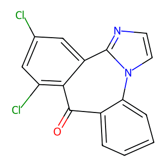 O=c1c2ccccc2n2ccnc2c2cc(Cl)cc(Cl)c12